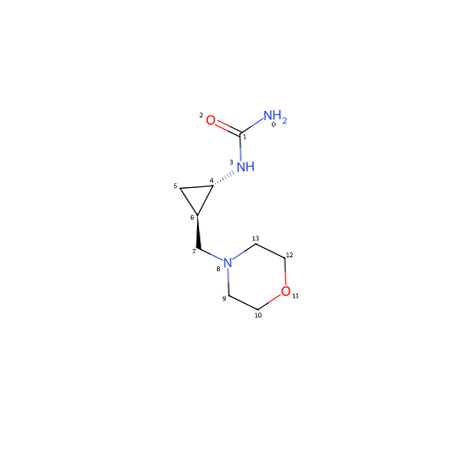 NC(=O)N[C@H]1C[C@@H]1CN1CCOCC1